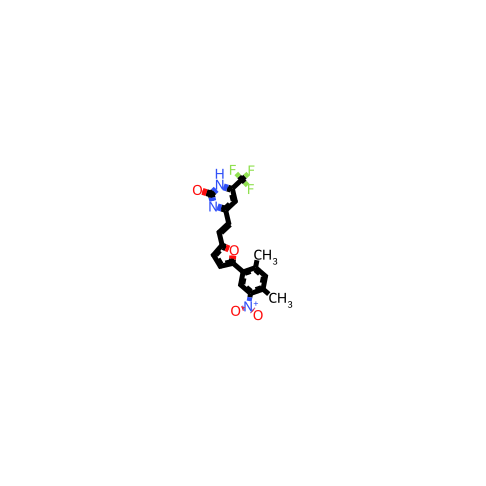 Cc1cc(C)c([N+](=O)[O-])cc1-c1ccc(C=Cc2cc(C(F)(F)F)[nH]c(=O)n2)o1